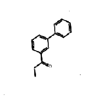 CCC(=O)c1cccc(-c2ccccc2)c1